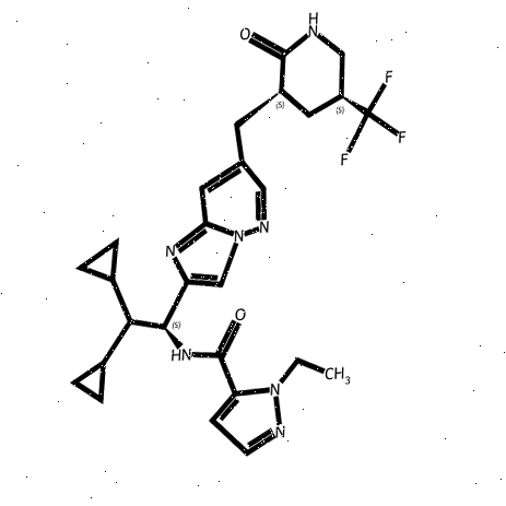 CCn1nccc1C(=O)N[C@H](c1cn2ncc(C[C@@H]3C[C@H](C(F)(F)F)CNC3=O)cc2n1)C(C1CC1)C1CC1